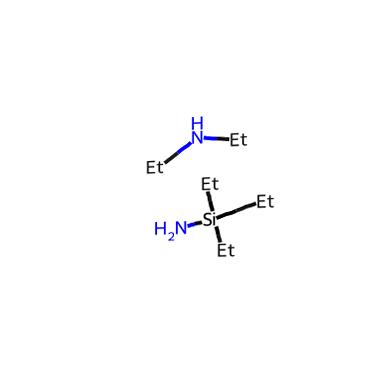 CCNCC.CC[Si](N)(CC)CC